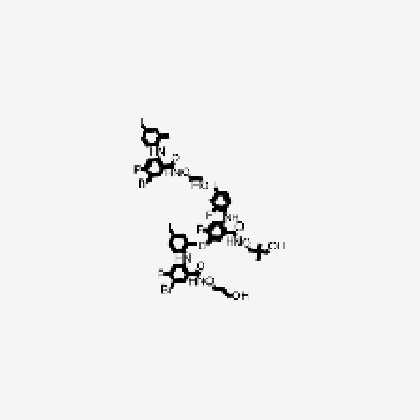 CC(C)(CO)CONC(=O)c1cc(Cl)c(F)cc1Nc1ccc(I)cc1F.Cc1cc(I)ccc1Nc1cc(F)c(Br)cc1C(=O)NOCCCO.Cc1cc(I)ccc1Nc1cc(F)c(Br)cc1C(=O)NOCCO